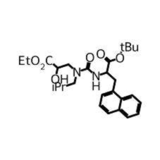 CCOC(=O)C(O)CN(CC(C)C)C(=O)NC(Cc1cccc2ccccc12)C(=O)OC(C)(C)C